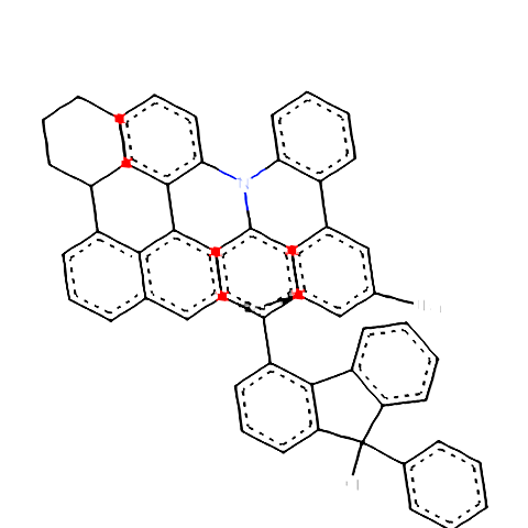 CC(C)(C)c1cc(-c2ccccc2N(c2ccc(-c3cccc4c3-c3ccccc3C4(C)c3ccccc3)cc2)c2ccccc2-c2cccc3cccc(C4CCCCC4)c23)cc(C(C)(C)C)c1